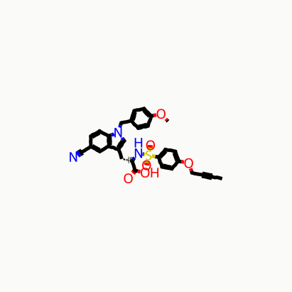 CC#CCOc1ccc(S(=O)(=O)N[C@@H](Cc2cn(Cc3ccc(OC)cc3)c3ccc(C#N)cc23)C(=O)O)cc1